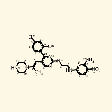 CC(=Cc1cnc(NCCNc2ccc([N+](=O)[O-])c(N)n2)nc1-c1ccc(Cl)cc1Cl)N1CCNCC1